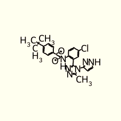 Cc1nnc(-c2cc(Cl)ccc2NS(=O)(=O)c2ccc(C(C)(C)C)cc2)n1-c1cc[nH]n1